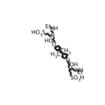 CCNCCN(CCCS(=O)(=O)O)CC(O)COc1ccc(C(C)(C)c2ccc(OCC(O)CN(CCCS(=O)(=O)O)CCNCC)cc2)cc1